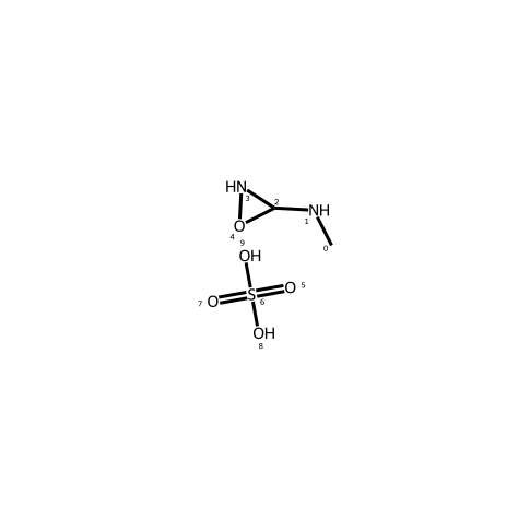 CNC1NO1.O=S(=O)(O)O